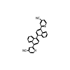 N#Cc1ccnc(-c2ccc(-c3ccc(-c4cc(C#N)ccn4)c4ccccc34)c3ccccc23)c1